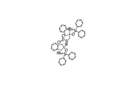 CC(C)(C)[Si](OC1(C[SiH](CC2(O[Si](c3ccccc3)(c3ccccc3)C(C)(C)C)Cc3ccccc3C2)[Zr]([Cl])[Cl])Cc2ccccc2C1)(c1ccccc1)c1ccccc1